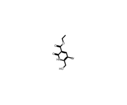 CCOC(=O)c1cc(Br)c(CO)[nH]c1=O